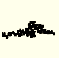 CCCc1ccc(CCc2cc3c(s2)c2c(c4ccsc43)-c3c(CCc4ccc(CCC)cc4)cccc3-2)cc1